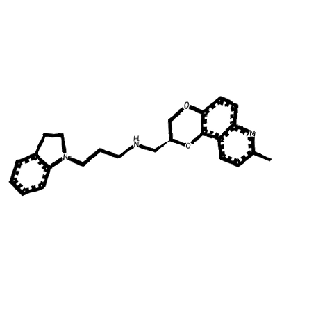 Cc1ccc2c3c(ccc2n1)OC[C@H](CNCCCN1CCc2ccccc21)O3